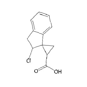 O=C(O)C1CC12c1ccccc1CC2Cl